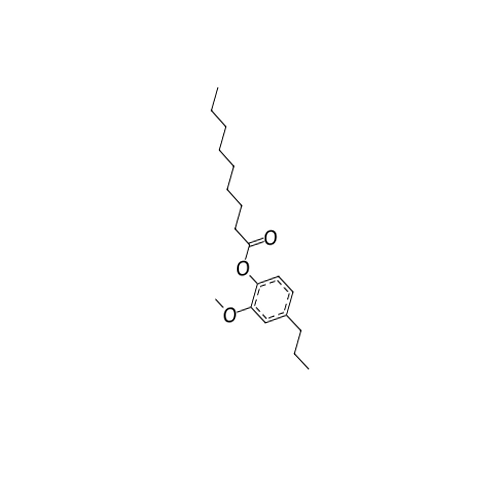 CCCCCCCCC(=O)Oc1ccc(CCC)cc1OC